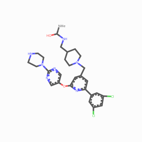 CNC(O)NCC1CCN(Cc2cc(Oc3cnc(N4CCNCC4)nc3)nc(-c3cc(Cl)cc(Cl)c3)c2)CC1